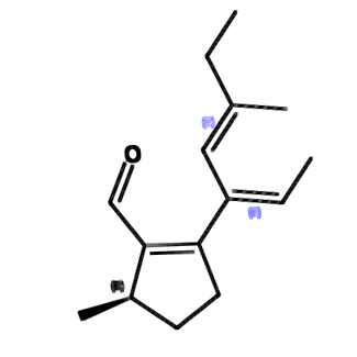 C/C=C(\C=C(/C)CC)C1=C(C=O)[C@H](C)CC1